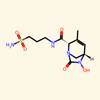 CC1=C[C@H]2CN(C(=O)N2O)[C@@H]1C(=O)NCCCS(N)(=O)=O